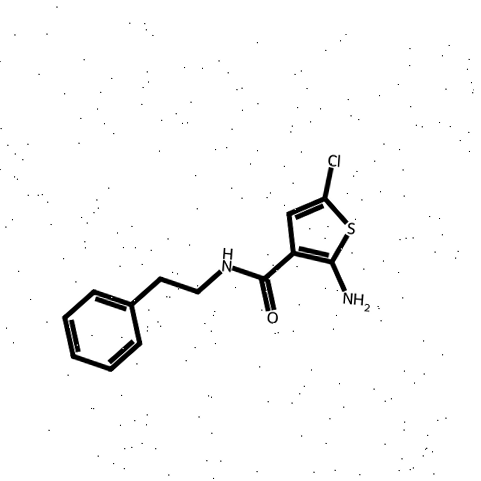 Nc1sc(Cl)cc1C(=O)NCCc1ccccc1